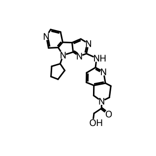 O=C(CO)N1CCc2nc(Nc3ncc4c5ccncc5n(C5CCCC5)c4n3)ccc2C1